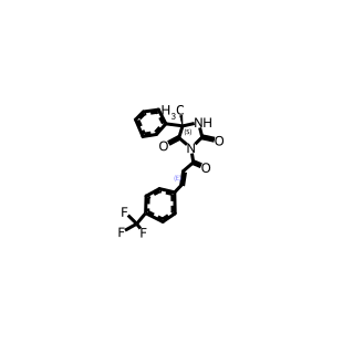 C[C@@]1(c2ccccc2)NC(=O)N(C(=O)/C=C/c2ccc(C(F)(F)F)cc2)C1=O